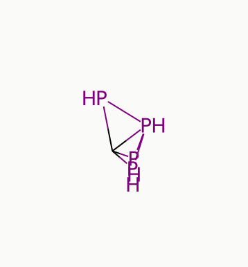 P1C23P[PH]12P3